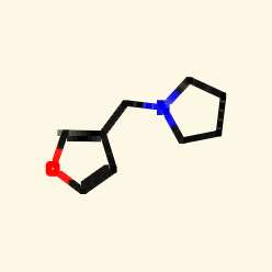 [c]1occc1CN1CCCC1